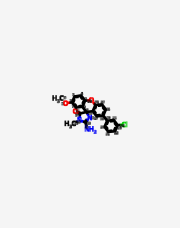 COc1ccc2c(c1)C1(N=C(N)N(C)C1=O)c1cc(-c3cccc(Cl)c3)ccc1O2